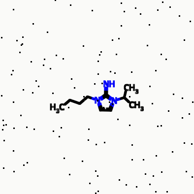 CCCCn1ccn(C(C)C)c1=N